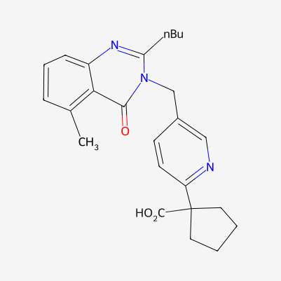 CCCCc1nc2cccc(C)c2c(=O)n1Cc1ccc(C2(C(=O)O)CCCC2)nc1